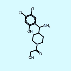 NC(c1cc(Cl)c(Cl)cc1O)C1CCN(C(=O)CO)CC1